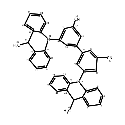 CC1c2ccccc2N(c2cc(C#N)cc(-c3cc(C#N)cc(N4c5ccccc5C(C)c5ccccc54)c3)c2)c2ccccc21